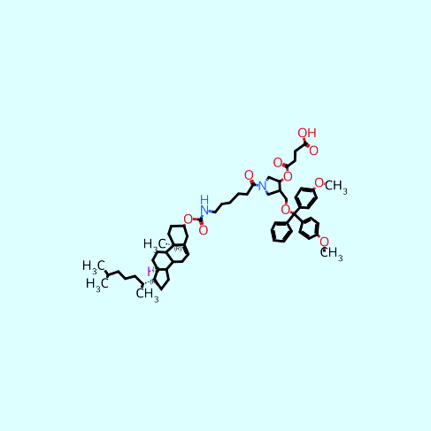 COc1ccc(C(OCC2CN(C(=O)CCCCCNC(=O)OC3CC[C@@]4(C)C(=CCC5C4CC[C@@]4(I)C5CC[C@@H]4C(C)CCCC(C)C)C3)CC2OC(=O)CCC(=O)O)(c2ccccc2)c2ccc(OC)cc2)cc1